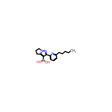 CCCCCc1cccc(-c2nn3c(c2B(O)O)CCC3)n1